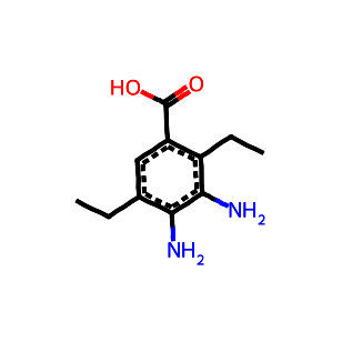 CCc1cc(C(=O)O)c(CC)c(N)c1N